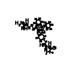 Cc1cnc(NCc2ccc(CN(C(=O)C(c3ccccc3)c3ccccc3)[C@H](CCCNC(=N)N)C(=O)O)cc2)[nH]c1=O